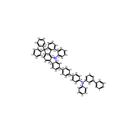 c1ccc(-c2cccc(N(c3ccccc3)c3ccc(-c4ccc(-c5ccc6c7ccc8c9c7n(c6c5)-c5ccccc5-c5cccc(c5-9)C8(c5ccccc5)c5ccccc5)cc4)cc3)c2)cc1